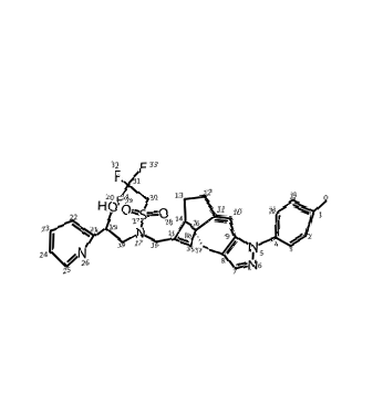 Cc1ccc(-n2ncc3c2C=C2CCC4C(CN(CC(O)c5ccccn5)S(=O)(=O)CC(F)(F)F)=C[C@]24C3)cc1